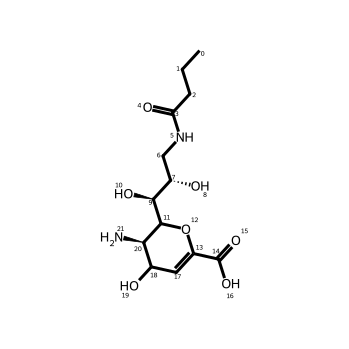 CCCC(=O)NC[C@H](O)[C@H](O)C1OC(C(=O)O)=CC(O)[C@H]1N